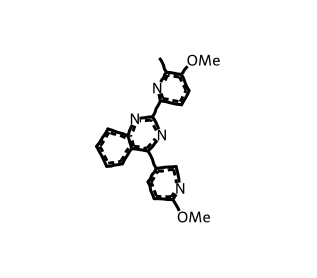 COc1ccc(-c2nc(-c3ccc(OC)c(C)n3)nc3ccccc23)cn1